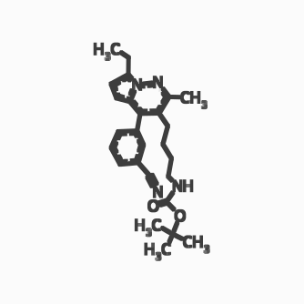 CCc1ccc2c(-c3cccc(C#N)c3)c(CCCCNC(=O)OC(C)(C)C)c(C)nn12